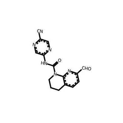 N#Cc1cnc(NC(=O)N2CCCc3ccc(C=O)nc32)cn1